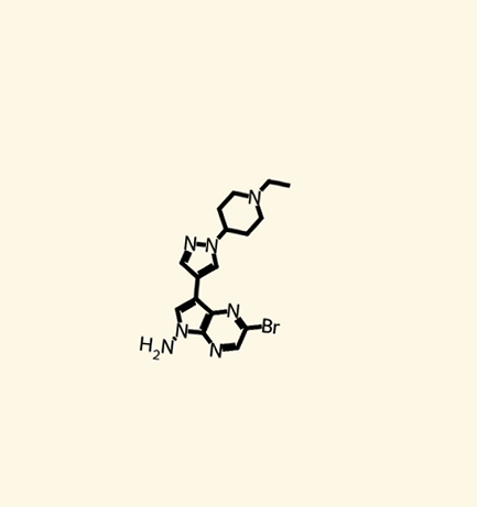 CCN1CCC(n2cc(-c3cn(N)c4ncc(Br)nc34)cn2)CC1